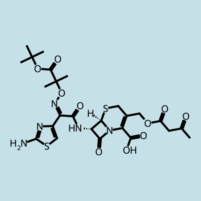 CC(=O)CC(=O)OCC1=C(C(=O)O)N2C(=O)[C@H](NC(=O)/C(=N\OC(C)(C)C(=O)OC(C)(C)C)c3csc(N)n3)[C@H]2SC1